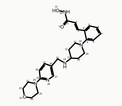 O=C(C=Cc1ccccc1N1CCC(NCc2ccc(N3CCOCC3)nc2)CC1)NO